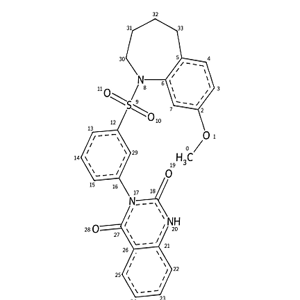 COc1ccc2c(c1)N(S(=O)(=O)c1cccc(-n3c(=O)[nH]c4ccccc4c3=O)c1)CCCC2